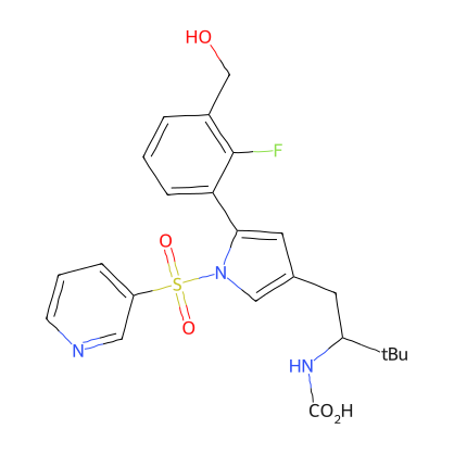 CC(C)(C)C(Cc1cc(-c2cccc(CO)c2F)n(S(=O)(=O)c2cccnc2)c1)NC(=O)O